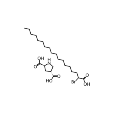 CCCCCCCCCCCCCCCCC(Br)C(=O)O.O=C(O)[C@H]1CN[C@H](C(=O)O)C1